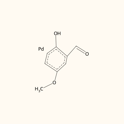 COc1ccc(O)c(C=O)c1.[Pd]